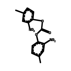 Cc1ccc(OC(=O)Oc2ccc(C)cc2[N+](=O)[O-])c([N+](=O)[O-])c1